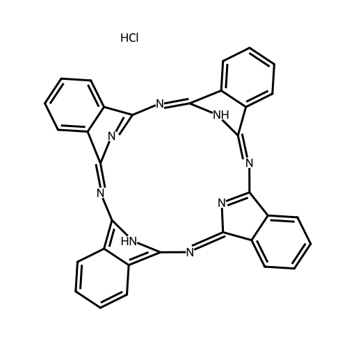 Cl.c1ccc2c(c1)-c1nc-2nc2[nH]c(nc3nc(nc4[nH]c(n1)c1ccccc41)-c1ccccc1-3)c1ccccc21